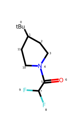 CC(C)(C)C1CCN(C(=O)C(F)F)CC1